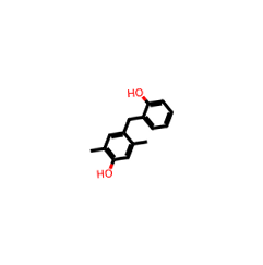 Cc1cc(Cc2ccccc2O)c(C)cc1O